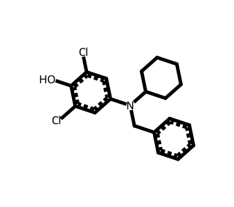 Oc1c(Cl)cc(N(Cc2ccccc2)C2CCCCC2)cc1Cl